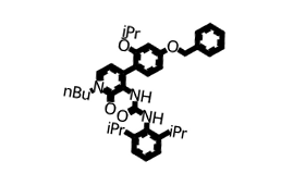 CCCCn1ccc(-c2ccc(OCc3ccccc3)cc2OC(C)C)c(NC(=O)Nc2c(C(C)C)cccc2C(C)C)c1=O